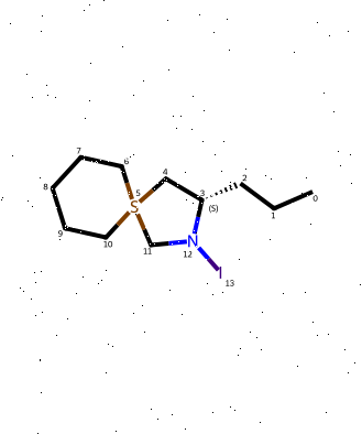 CCC[C@H]1CS2(CCCCC2)CN1I